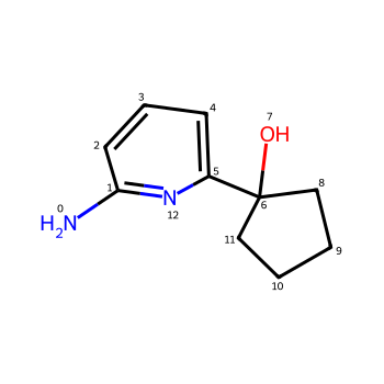 Nc1cccc(C2(O)CCCC2)n1